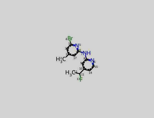 Cc1cc(Br)nc(Nc2cc(C(C)F)ccn2)c1